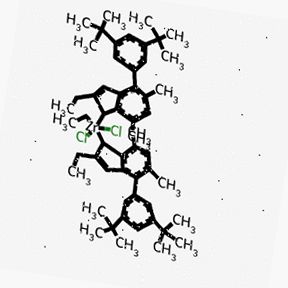 CCC1=Cc2c(-c3cc(C(C)(C)C)cc(C(C)(C)C)c3)c(C)cc(C)c2[CH]1[Zr]([Cl])([Cl])([CH2]C)[CH]1C(CC)=Cc2c(-c3cc(C(C)(C)C)cc(C(C)(C)C)c3)c(C)cc(C)c21